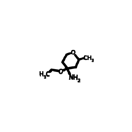 CCOC1(N)CCOC(C)C1